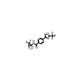 CC1(NC(=O)c2ccc(-c3noc(C(F)(F)F)n3)cc2)CC1(F)F